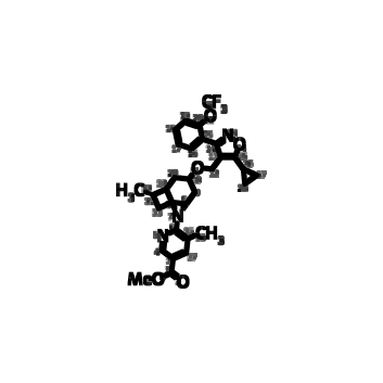 COC(=O)c1cnc(N2C3CC(OCc4c(-c5ccccc5OC(F)(F)F)noc4C4CC4)CC4[C@H](C)CC432)c(C)c1